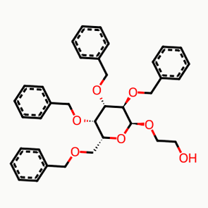 OCCO[C@H]1O[C@H](COCc2ccccc2)[C@H](OCc2ccccc2)[C@H](OCc2ccccc2)[C@H]1OCc1ccccc1